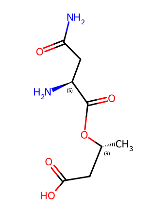 C[C@H](CC(=O)O)OC(=O)[C@@H](N)CC(N)=O